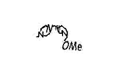 COCCN1CC[C@H](CN2CCN(C)CC2)C1